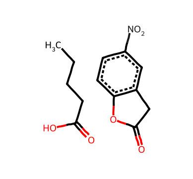 CCCCC(=O)O.O=C1Cc2cc([N+](=O)[O-])ccc2O1